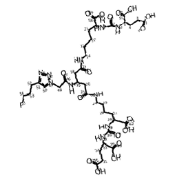 O=C(O)CCC(NC(=O)NC(CCCCNC(=O)CC(CC(=O)NCCCCC(NC(=O)NC(CCC(=O)O)C(=O)O)C(=O)O)NC(=O)Cn1cc(CCCF)nn1)C(=O)O)C(=O)O